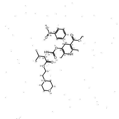 COC(=O)C1=C(C)NC(C)=C(OC(=O)N[C@H](C(=O)OCCN2CCOCC2)C(C)C)[C@@H]1c1cccc([N+](=O)[O-])c1